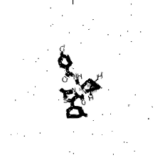 Cc1cccc(-c2sc(C)nc2C(=O)N2[C@H](CNC(=O)c3ccc(Cl)cc3)C[C@H]3C[C@@H]32)c1